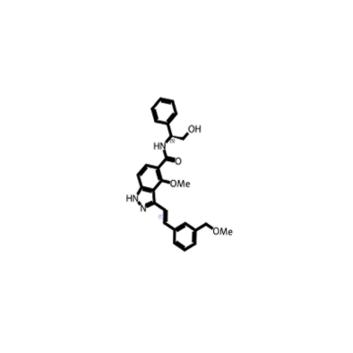 COCc1cccc(/C=C/c2n[nH]c3ccc(C(=O)N[C@H](CO)c4ccccc4)c(OC)c23)c1